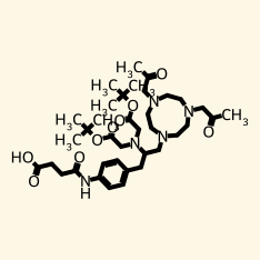 CC(=O)CN1CCN(CC(C)=O)CCN(CC(Cc2ccc(NC(=O)CCC(=O)O)cc2)N(CC(=O)OC(C)(C)C)CC(=O)OC(C)(C)C)CC1